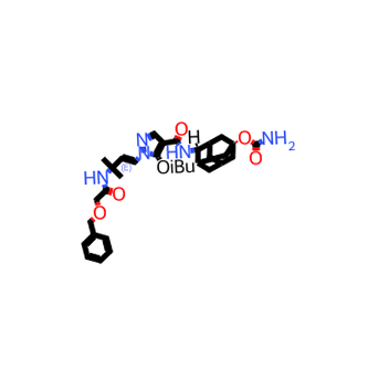 CC(C)COc1c(C(=O)N[C@H]2C3CC4CC2C[C@](OC(N)=O)(C4)C3)cnn1/C=C/C(C)(C)NC(=O)COCc1ccccc1